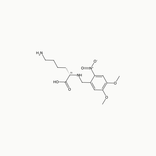 COc1cc(CN[C@@H](CCCCN)C(=O)O)c([N+](=O)[O-])cc1OC